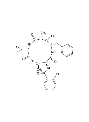 C[C@H]1OC(=O)C(C2CC2)NC(=O)[C@H](C)[C@H](O)[C@H](Cc2ccccc2)NC(=O)[C@H]1NC(=O)c1ccccc1O